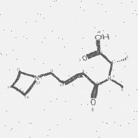 C[C@@H](C(=O)O)N(C)C(=O)C=CCN1CCC1